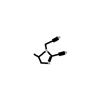 CC1CN=C(C#N)N1CC#N